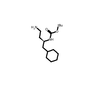 CC(C)(C)OC(=O)N[C@H](CCN)CC1CCCCC1